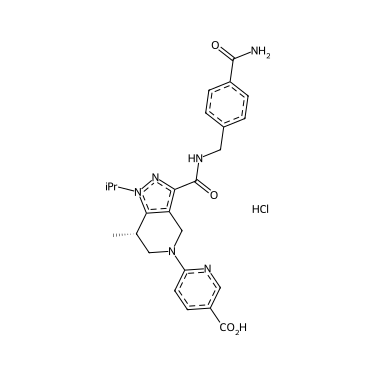 CC(C)n1nc(C(=O)NCc2ccc(C(N)=O)cc2)c2c1[C@@H](C)CN(c1ccc(C(=O)O)cn1)C2.Cl